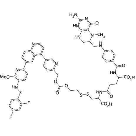 COc1nc(-c2ccc3nccc(-c4ccc(COC(=O)OCCSSCC(NC(=O)CCC(NC(=O)c5ccc(NCC6CNc7[nH]c(N)nc(=O)c7N6C)cc5)C(=O)O)C(=O)O)nc4)c3c2)ccc1NSc1ccc(F)cc1F